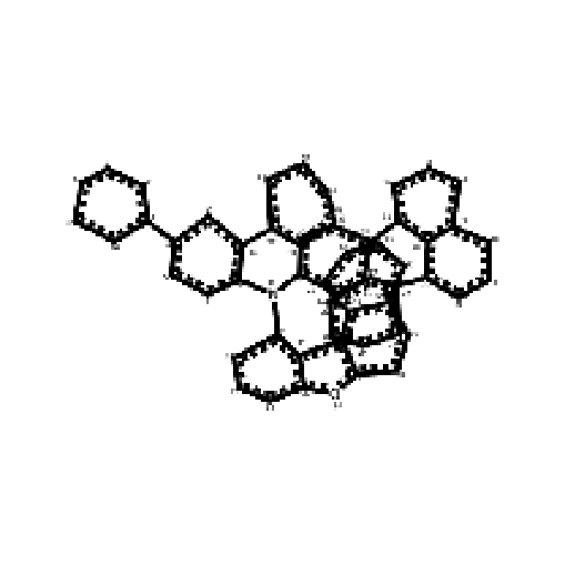 c1ccc(-c2ccc(N(c3ccc(-c4cccc5cccc(-c6ccccc6)c45)cc3)c3cccc4oc5ccc6ccccc6c5c34)c(-c3ccccc3)c2)cc1